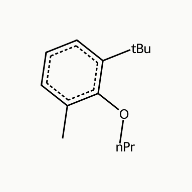 [CH2]CCOc1c(C)cccc1C(C)(C)C